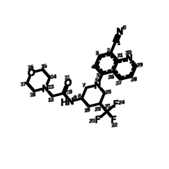 N#Cc1ccc(N2CC(NC(=O)CN3CCOCC3)CC(C(F)(F)F)C2)c2cccnc12